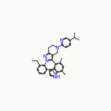 CCc1cccc(CC)c1-n1nc2c(c1-c1c(C)cc(C)c3[nH]ccc13)CN(c1ccc(C(C)C)cn1)CC2